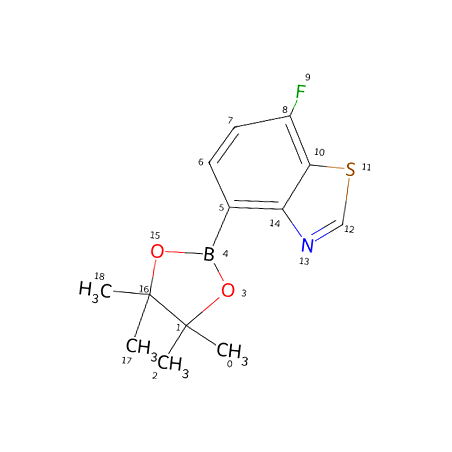 CC1(C)OB(c2ccc(F)c3scnc23)OC1(C)C